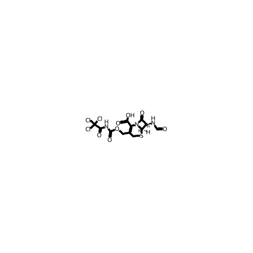 O=CN[C@@H]1C(=O)N2C(C(=O)O)=C(COC(=O)NC(=O)C(Cl)(Cl)Cl)CS[C@H]12